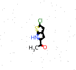 CC(=O)c1cc2cc(Cl)sc2[nH]1